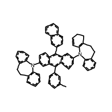 Cc1cccc(-c2c3ccc(N4C5=C(CCC=C5)CCc5ccccc54)cc3c(-c3ccc4ccccc4c3)c3ccc(N4c5ccccc5CCc5ccccc54)cc23)c1